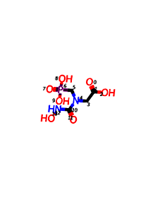 O=C(O)CN(CP(=O)(O)O)C(=O)NO